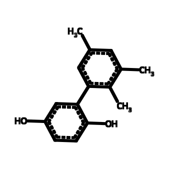 Cc1cc(C)c(C)c(-c2cc(O)ccc2O)c1